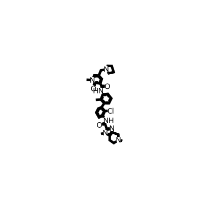 Cc1c(NC(=O)c2cc(CN3CCCC3)cn(C)c2=O)cccc1-c1cccc(NC(=O)c2nc3c(n2C)CCN(C)C3)c1Cl